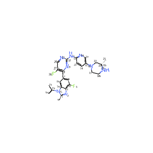 Cc1nc2c(F)cc(-c3nc(Nc4ccc(N5CCN[C@@H](C)C5)cn4)ncc3F)cc2n1C(C)C